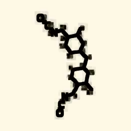 CC1CC(CC2CCC(CN=C=O)C(C)C2)CCC1CN=C=O